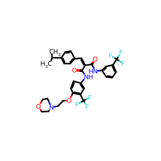 CC(C)c1ccc(/C=C(/C(=O)Nc2cccc(C(F)(F)F)c2)C(=O)Nc2ccc(OCCN3CCOCC3)c(C(F)(F)F)c2)cc1